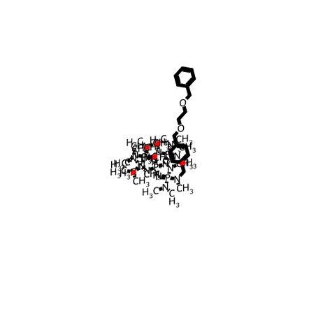 CN(C)P(=N[PH](N=P(N(C)C)(N(C)C)N(C)C)(N=P(N(C)C)(N(C)C)N(C)C)N=P(N(C)C)(N(C)C)N(C)Cc1ccc(COCCOCc2ccccc2)cc1)(N(C)C)N(C)C